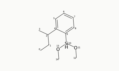 CCC(C)c1ccccc1[SiH](OC)OC